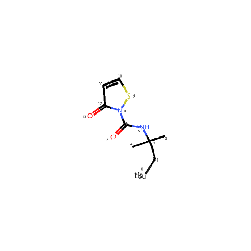 CC(C)(C)CC(C)(C)NC(=O)n1sccc1=O